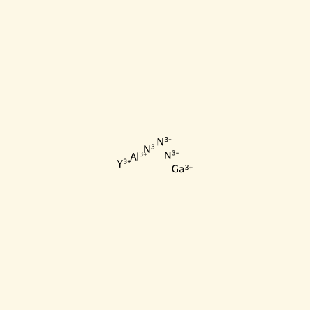 [Al+3].[Ga+3].[N-3].[N-3].[N-3].[Y+3]